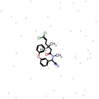 CN(C(=O)CC(C)(C)CC=C(Cl)Cl)C(C#N)c1cccc(Oc2ccccc2)c1